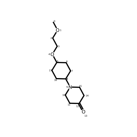 COCCOC1CCC(N2CCC(=O)CC2)CC1